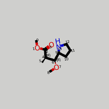 COC(=O)[C@H](C)[C@@H](OC)C1CCCN1